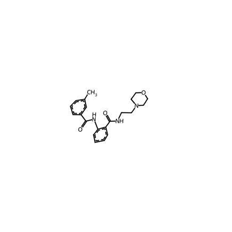 Cc1cccc(C(=O)Nc2ccccc2C(=O)NCCN2CCOCC2)c1